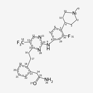 CN1CCC(c2ccc(Nc3ncc(C(F)(F)F)c(CCc4ccccc4CC(N)=O)n3)cc2F)CC1